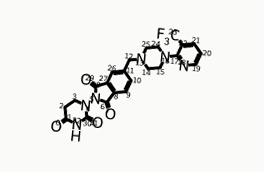 O=C1CCN(N2C(=O)c3ccc(CN4CCN(c5ncccc5C(F)(F)F)CC4)cc3C2=O)C(=O)N1